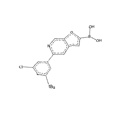 CC(C)(C)c1cc(Cl)cc(-c2cc3cc(B(O)O)oc3cn2)c1